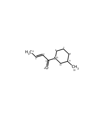 C/C=C/C(=O)N1CCCC(C)C1